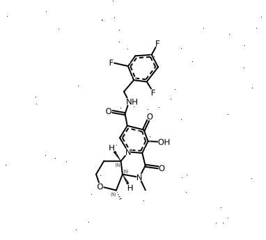 C[C@@H]1OCC[C@H]2[C@@H]1N(C)C(=O)c1c(O)c(=O)c(C(=O)NCc3c(F)cc(F)cc3F)cn12